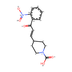 O=C(C=CC1CCN(C(=O)O)CC1)c1ccccc1[N+](=O)[O-]